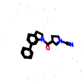 N#CN1CCC(C(=O)N2CCc3ccc(-c4ccccc4)cc32)C1